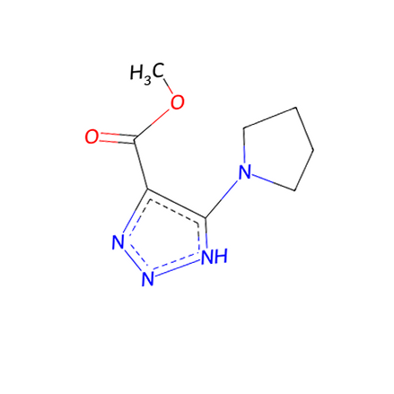 COC(=O)c1nn[nH]c1N1CCCC1